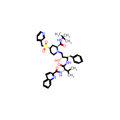 CC(C)[C@H](NC(=O)c1ccc2ccccc2n1)C(=O)N[C@@H](Cc1ccccc1)[C@H](O)CN1CC[C@@H](S(=O)(=O)Cc2cccnc2)C[C@H]1C(=O)NC(C)(C)C